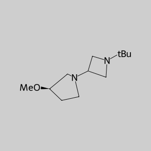 CO[C@@H]1CCN(C2CN(C(C)(C)C)C2)C1